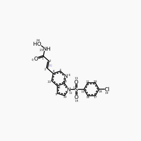 O=C(/C=C/c1cnc2c(ccn2S(=O)(=O)c2ccc(Cl)cc2)c1)NO